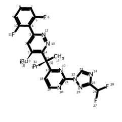 CC[C@H](C)c1cc(-c2c(F)cccc2F)nnc1[C@](C)(c1ccnc(-n2cnc(C(F)F)n2)n1)C(C)C